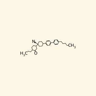 CCCCCc1ccc(-c2ccc(C3CCC(C#N)(C4CCC(CCC)C(=O)C4)CC3)cc2)cc1